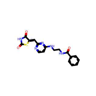 O=C1NC(=O)/C(=C/c2nccc(NCCNC(=O)c3ccccc3)n2)S1